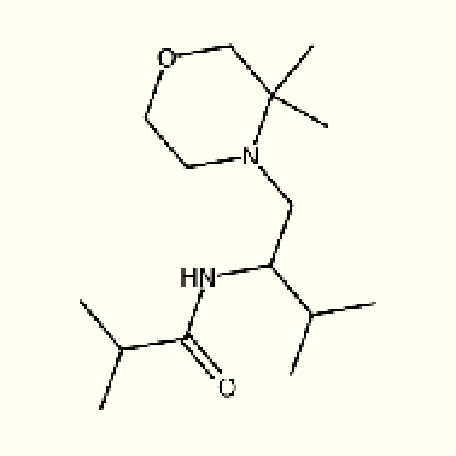 CC(C)C(=O)NC(CN1CCOCC1(C)C)C(C)C